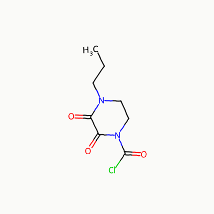 CCCN1CCN(C(=O)Cl)C(=O)C1=O